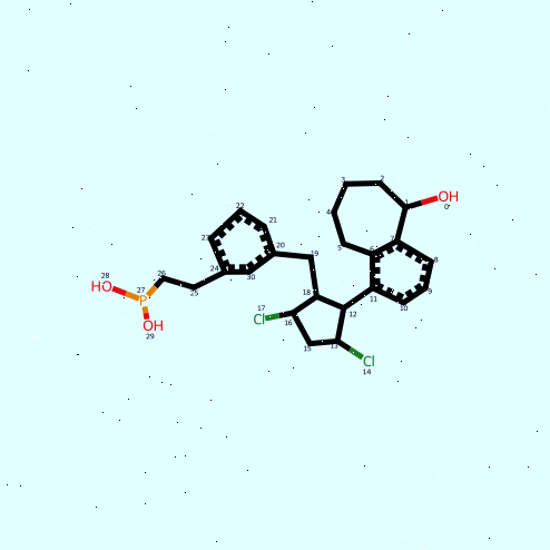 OC1CCCCc2c1cccc2C1C(Cl)CC(Cl)C1Cc1cccc(CCP(O)O)c1